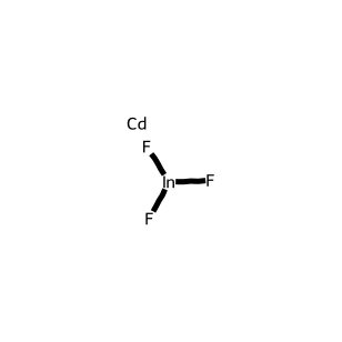 [Cd].[F][In]([F])[F]